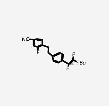 CCCC/C(F)=C(\F)c1ccc(CCc2ccc(C#N)cc2F)cc1